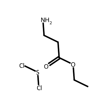 CCOC(=O)CCN.ClSCl